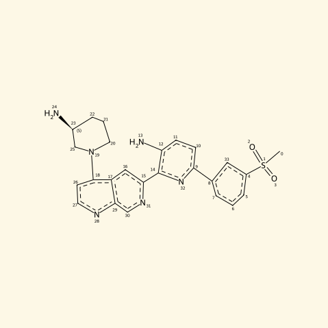 CS(=O)(=O)c1cccc(-c2ccc(N)c(-c3cc4c(N5CCC[C@H](N)C5)ccnc4cn3)n2)c1